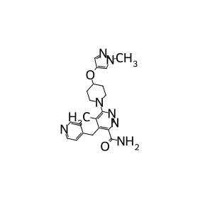 Cc1c(N2CCC(Oc3cnn(C)c3)CC2)nnc(C(N)=O)c1Cc1ccncc1